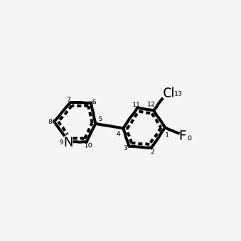 Fc1ccc(-c2c[c]cnc2)cc1Cl